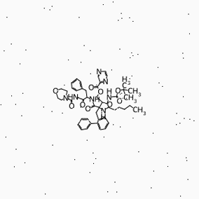 CCCCCC(=O)NC(Cc1ccccc1-c1ccccc1)(C(=O)NC(Cc1ccccc1)C(=O)NC(=O)N1CCOCC1)C(CNC(=O)OC(C)(C)C)COC(=O)c1cnccn1